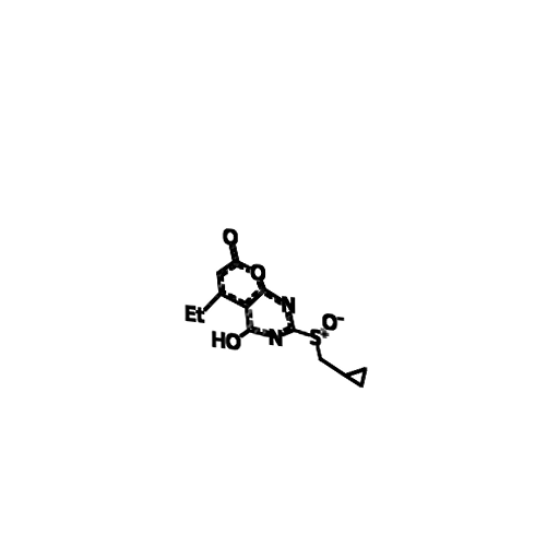 CCc1cc(=O)oc2nc([S+]([O-])CC3CC3)nc(O)c12